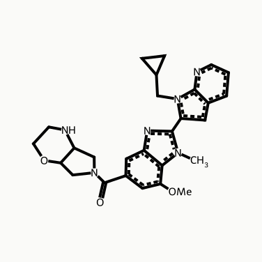 COc1cc(C(=O)N2CC3NCCOC3C2)cc2nc(-c3cc4cccnc4n3CC3CC3)n(C)c12